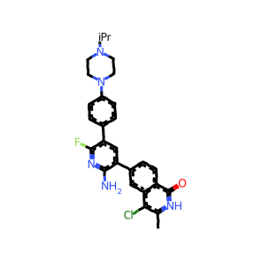 Cc1[nH]c(=O)c2ccc(-c3cc(-c4ccc(N5CCN(C(C)C)CC5)cc4)c(F)nc3N)cc2c1Cl